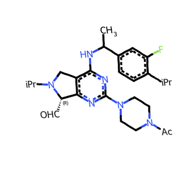 CC(=O)N1CCN(c2nc(NC(C)c3ccc(C(C)C)c(F)c3)c3c(n2)[C@H](C=O)N(C(C)C)C3)CC1